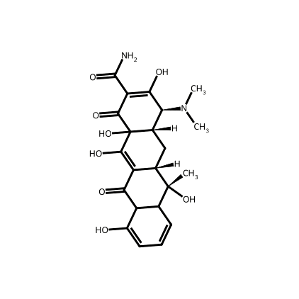 CN(C)[C@@H]1C(O)=C(C(N)=O)C(=O)C2(O)C(O)=C3C(=O)C4C(O)=CC=CC4[C@@](C)(O)[C@H]3C[C@@H]12